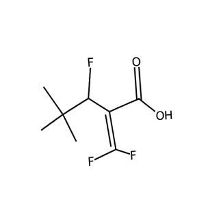 CC(C)(C)C(F)C(C(=O)O)=C(F)F